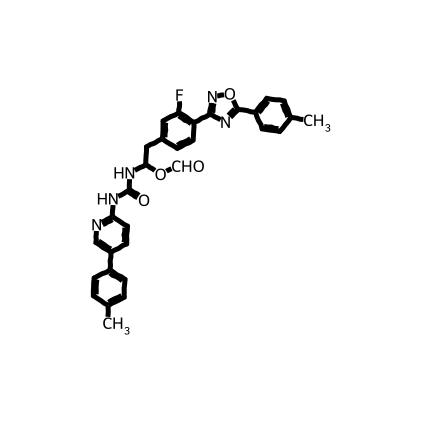 Cc1ccc(-c2ccc(NC(=O)NC(Cc3ccc(-c4noc(-c5ccc(C)cc5)n4)c(F)c3)OC=O)nc2)cc1